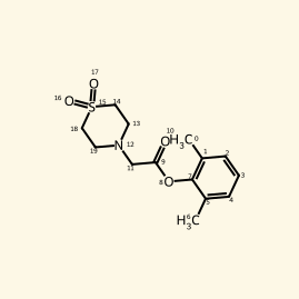 Cc1cccc(C)c1OC(=O)CN1CCS(=O)(=O)CC1